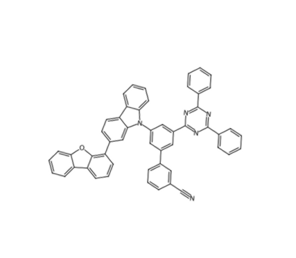 N#Cc1cccc(-c2cc(-c3nc(-c4ccccc4)nc(-c4ccccc4)n3)cc(-n3c4ccccc4c4ccc(-c5cccc6c5oc5ccccc56)cc43)c2)c1